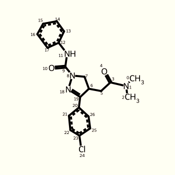 CN(C)C(=O)CC1CN(C(=O)Nc2ccccc2)N=C1c1ccc(Cl)cc1